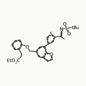 CCOC(=O)Cc1ccccc1OCc1cc(-c2csc(C(C)=NS(=O)(=O)C(C)(C)C)c2)c2occc2c1